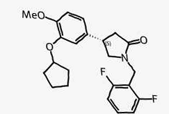 COc1ccc([C@@H]2CC(=O)N(Cc3c(F)cccc3F)C2)cc1OC1CCCC1